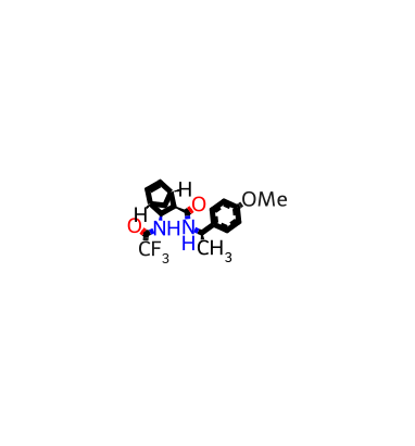 COc1ccc([C@@H](C)NC(=O)[C@H]2[C@@H](NC(=O)C(F)(F)F)[C@H]3C=C[C@@H]2C3)cc1